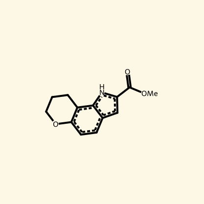 COC(=O)c1cc2ccc3c(c2[nH]1)CCCO3